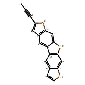 CC#Cc1cc2cc3c(cc2s1)sc1cc2sccc2cc13